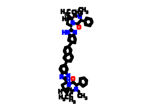 CCN(CC)[C@@H](C(=O)N1[C@@H]2[C@H](C)[C@@H]2C[C@H]1c1nc2ccc(-c3ccc4cc(-c5ccc6nc([C@@H]7C[C@H]8[C@@H](C)[C@H]8N7C(=O)[C@@H](c7ccccc7)N(CC)CC)[nH]c6c5)ccc4c3)cc2[nH]1)c1ccccc1